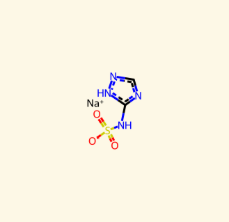 O=S(=O)([O-])Nc1ncn[nH]1.[Na+]